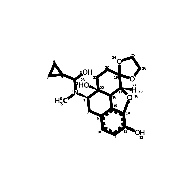 CN(C(O)C1CC1)[C@@H]1Cc2ccc(O)c3c2C2[C@@H](O3)C3(CC[C@]21O)OCCO3